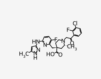 Cc1cc(Nc2ccc(F)c(C[C@@]3(C(=O)O)CCN(CC(=O)c4cccc(Cl)c4F)[C@H](C)C3)n2)n[nH]1